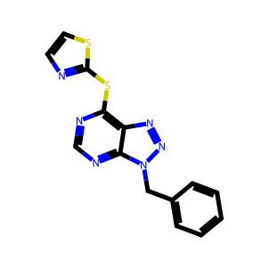 c1ccc(Cn2nnc3c(Sc4nccs4)ncnc32)cc1